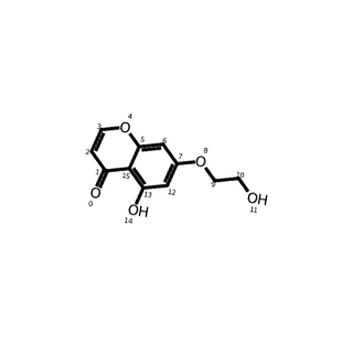 O=c1ccoc2cc(OCCO)cc(O)c12